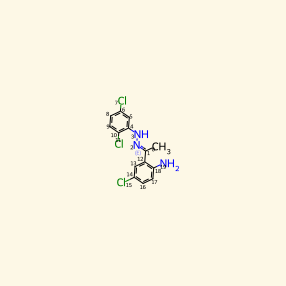 C/C(=N\Nc1cc(Cl)ccc1Cl)c1cc(Cl)ccc1N